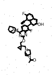 C#Cc1c(F)ccc2cc(O)cc(-c3c(F)cc4c(N5CC6CCC(C5)N6)nc(OCC5(CN6CC7CC6CN7C(C)=O)CC5)nc4c3F)c12